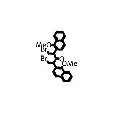 COc1c(C(CBr)C(=O)C(CBr)c2ccc3ccccc3c2OC)ccc2ccccc12